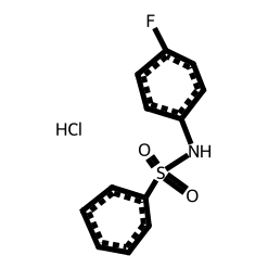 Cl.O=S(=O)(Nc1ccc(F)cc1)c1ccccc1